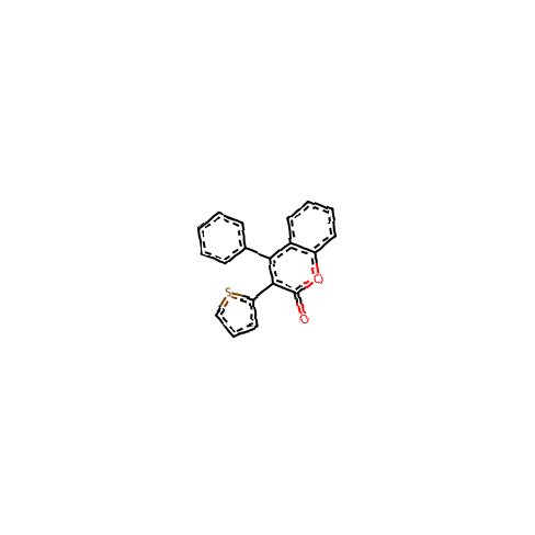 O=c1oc2ccccc2c(-c2ccccc2)c1-c1cccs1